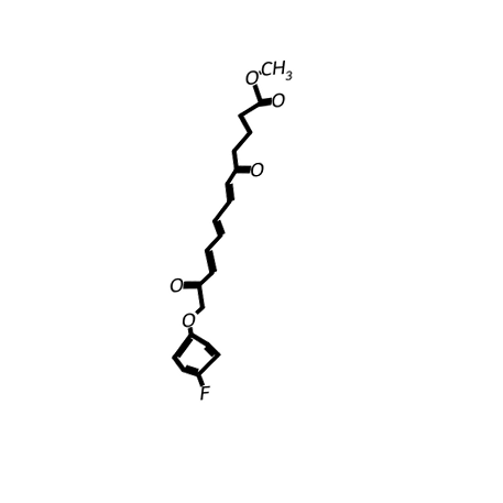 COC(=O)CCCC(=O)C=CC=CC=CC(=O)COc1ccc(F)cc1